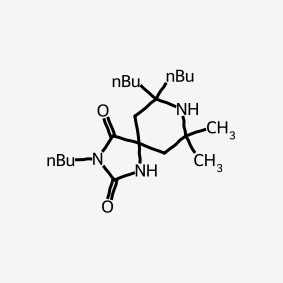 CCCCN1C(=O)NC2(CC(C)(C)NC(CCCC)(CCCC)C2)C1=O